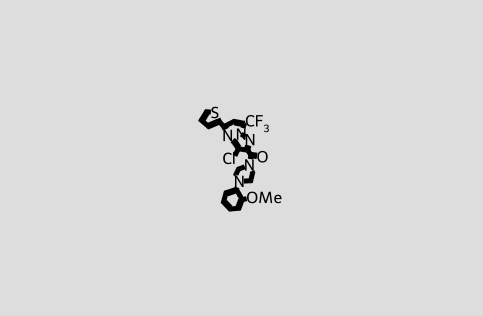 COc1ccccc1N1CCN(C(=O)c2nn3c(C(F)(F)F)cc(-c4cccs4)nc3c2Cl)CC1